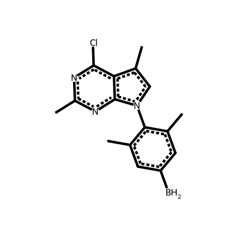 Bc1cc(C)c(-n2cc(C)c3c(Cl)nc(C)nc32)c(C)c1